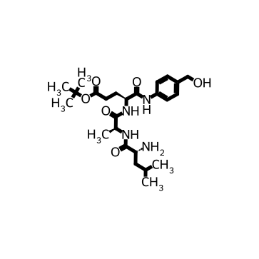 CC(C)C[C@@H](N)C(=O)N[C@@H](C)C(=O)N[C@@H](CCC(=O)OC(C)(C)C)C(=O)Nc1ccc(CO)cc1